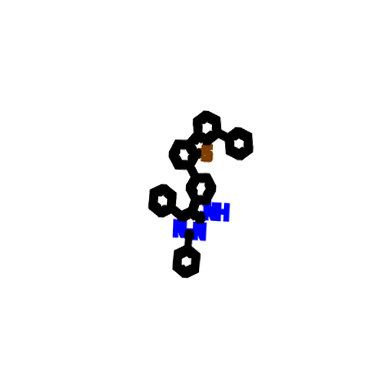 c1ccc(-c2nc(-c3ccccc3)c3c(n2)[nH]c2ccc(-c4cccc5c4sc4c(-c6ccccc6)cccc45)cc23)cc1